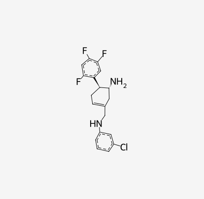 N[C@@H]1CC(CNc2cccc(Cl)c2)=CC[C@H]1c1cc(F)c(F)cc1F